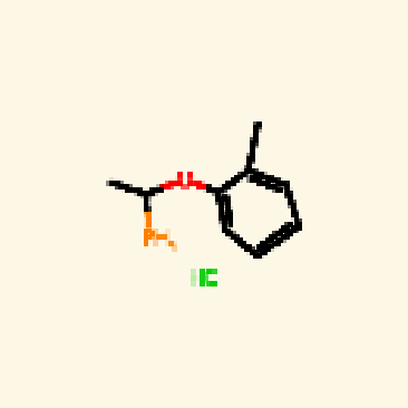 Cc1ccccc1OC(C)P.Cl